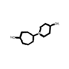 OC1CCCC(N2CCC(O)CC2)CC1